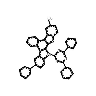 CC(C)(C)c1ccc2sc3c(c2c1)c1ccccc1c1c2cc(-c4ccccc4)ccc2n(-c2nc(-c4ccccc4)nc(-c4ccccc4)n2)c31